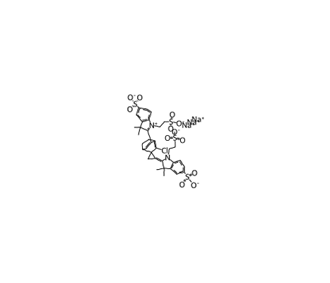 CC1(C)C(=C2CC23C(Cl)=C2CCC3C=C2C2=[N+](CCS(=O)(=O)[O-])c3ccc(S(=O)(=O)[O-])cc3C2(C)C)N(CCS(=O)(=O)[O-])c2ccc(S(=O)(=O)[O-])cc21.[Na+].[Na+].[Na+]